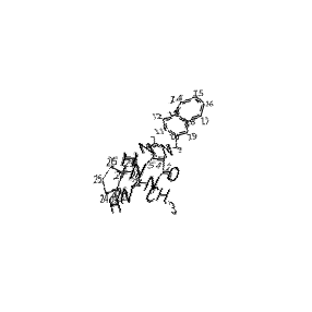 CN1C(=O)c2c(ncn2Cc2ccc3ccccc3c2)N2C1=N[C@@H]1CCC[C@@H]12